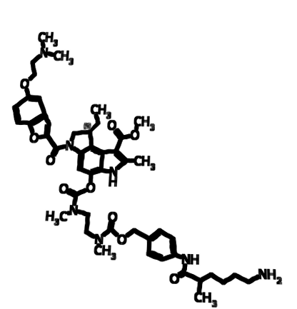 CC[C@@H]1CN(C(=O)c2cc3cc(OCCN(C)C)ccc3o2)c2cc(OC(=O)N(C)CCN(C)C(=O)OCc3ccc(NC(=O)C(C)CCCCN)cc3)c3[nH]c(C)c(C(=O)OC)c3c21